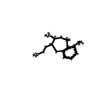 CCCN1Cc2cccc(N)c2NCC1C